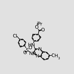 Cc1ccc2nc(NS(=O)(=O)c3ccc(Cl)cc3)c(Nc3ccc(C(=O)OC(C)C)cc3)nc2c1